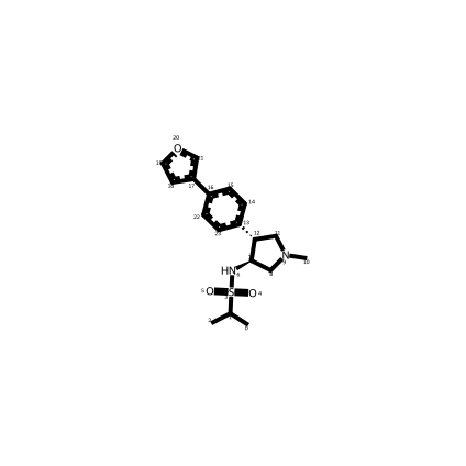 CC(C)S(=O)(=O)N[C@@H]1CN(C)C[C@H]1c1ccc(-c2ccoc2)cc1